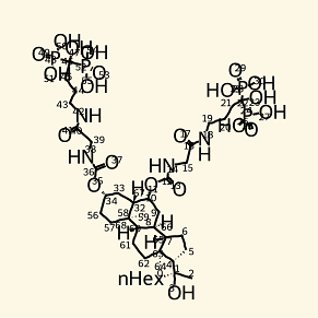 CCCCCC[C@](C)(O)[C@H]1CC[C@H]2[C@@H]3C[C@H](OC(=O)NCC(=O)NCCCC(O)(P(=O)(O)O)P(=O)(O)O)[C@H]4C[C@@H](OC(=O)NCC(=O)NCCCC(O)(P(=O)(O)O)P(=O)(O)O)CC[C@]4(C)[C@H]3CC[C@@]21C